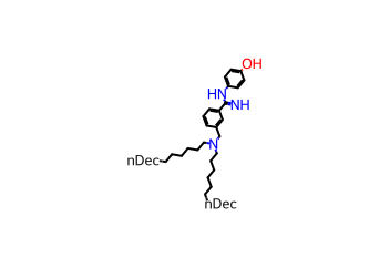 CCCCCCCCCCCCCCCCN(CCCCCCCCCCCCCCCC)Cc1cccc(C(=N)Nc2ccc(O)cc2)c1